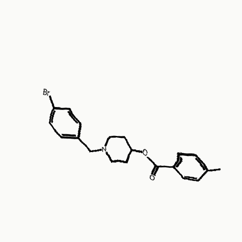 Cc1ccc(C(=O)OC2CCN(Cc3ccc(Br)cc3)CC2)cc1